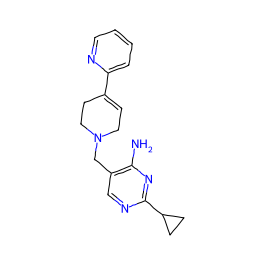 Nc1nc(C2CC2)ncc1CN1CC=C(c2ccccn2)CC1